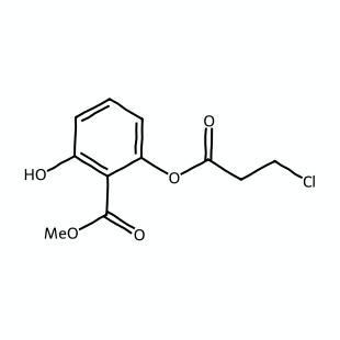 COC(=O)c1c(O)cccc1OC(=O)CCCl